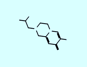 CCC(CC)CN1CCn2cc(O)c(=O)cc2C1